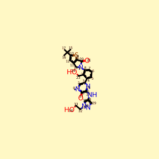 Cn1cc(-c2cccc(N3Cc4cc(C(C)(C)C)sc4C3=O)c2CO)nc(Nc2cnn(CCO)c2)c1=O